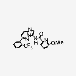 COc1cccc(C(=O)Nc2cnc3ccc(-c4ccccc4C(F)(F)F)nn23)n1